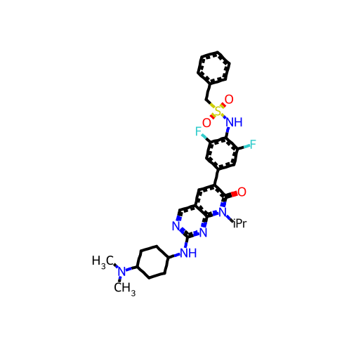 CC(C)n1c(=O)c(-c2cc(F)c(NS(=O)(=O)Cc3ccccc3)c(F)c2)cc2cnc(NC3CCC(N(C)C)CC3)nc21